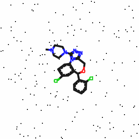 CN1CCN(c2nnc3n2-c2ccc(Cl)cc2C(c2ccccc2Cl)OC3)CC1